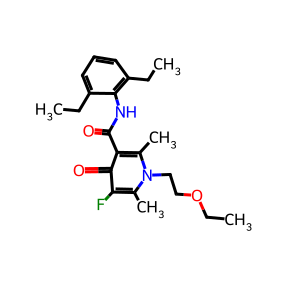 CCOCCn1c(C)c(F)c(=O)c(C(=O)Nc2c(CC)cccc2CC)c1C